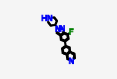 Fc1cc(-c2ccc3cnccc3c2)cc2cn(C3CCNCC3)nc12